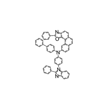 c1ccc(-c2ccc(N(c3ccc(-n4c(-c5ccccc5)nc5ccccc54)cc3)c3ccc4ccc5ccc6nc(-c7ccccc7)oc6c5c4c3)cc2)cc1